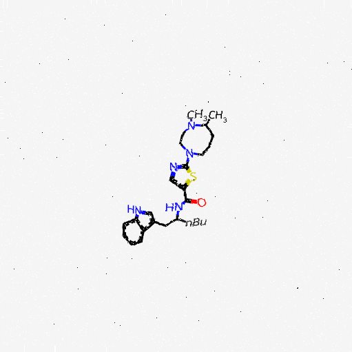 CCCCC(Cc1c[nH]c2ccccc12)NC(=O)c1cnc(N2CCCC(C)N(C)CC2)s1